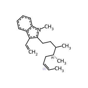 C=Cc1c(CCC(C)[C@H](C)C/C=C\C)n(C)c2ccccc12